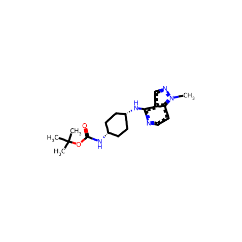 Cn1ncc2c(N[C@H]3CC[C@@H](NC(=O)OC(C)(C)C)CC3)nccc21